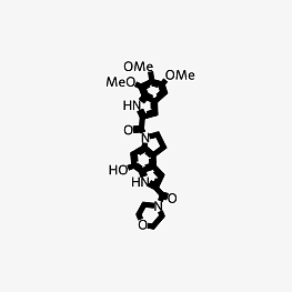 COc1cc2cc(C(=O)N3CCc4c3cc(O)c3[nH]c(C(=O)N5CCOCC5)cc43)[nH]c2c(OC)c1OC